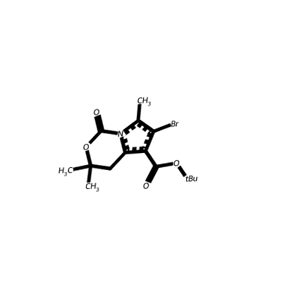 Cc1c(Br)c(C(=O)OC(C)(C)C)c2n1C(=O)OC(C)(C)C2